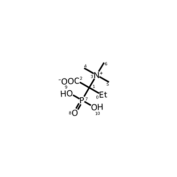 CCC(C(=O)[O-])([N+](C)(C)C)P(=O)(O)O